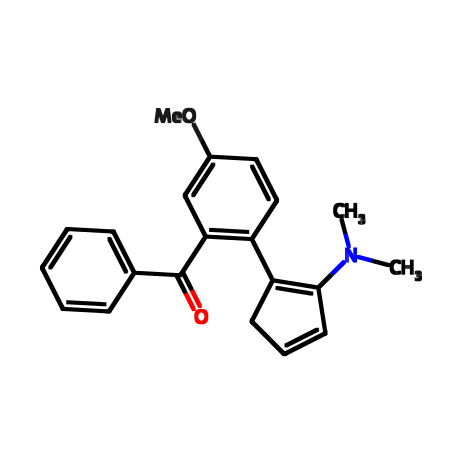 COc1ccc(C2=C(N(C)C)C=CC2)c(C(=O)c2ccccc2)c1